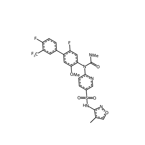 CNC(=O)N(c1ccc(S(=O)(=O)Nc2nocc2C)cn1)c1cc(F)c(-c2ccc(F)c(C(F)(F)F)c2)cc1OC